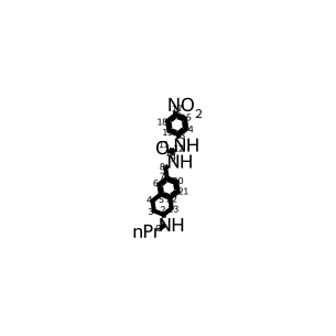 CCCNC1CCc2cc(CNC(=O)Nc3ccc([N+](=O)[O-])cc3)ccc2C1